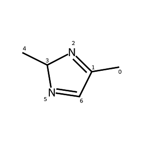 CC1=NC(C)N=C1